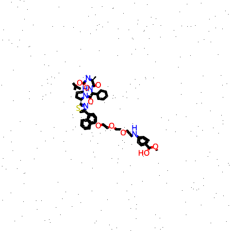 COC(O)c1ccc(NCCOCCOCCOc2ccc(-c3csc([C@@H]4CCCN4C(=O)[C@@H](NC(=O)[C@H](C)N(C)C(=O)OC(C)(C)C)C4CCCCC4)n3)c3ccccc23)cc1